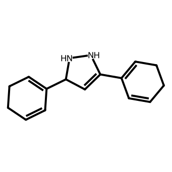 C1=CC(C2=CC(C3=CCCC=C3)NN2)=CCC1